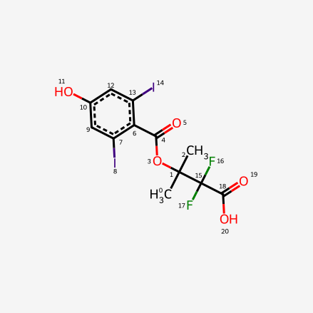 CC(C)(OC(=O)c1c(I)cc(O)cc1I)C(F)(F)C(=O)O